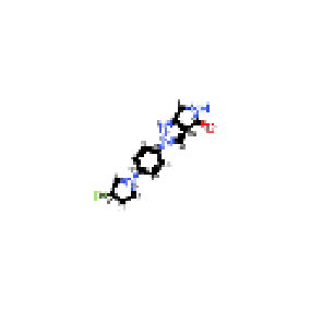 O=C1NCc2nn(-c3ccc(N4CC[C@@H](F)C4)cc3)cc21